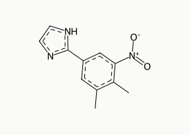 Cc1cc(-c2ncc[nH]2)cc([N+](=O)[O-])c1C